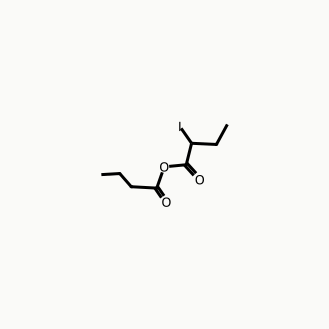 CCCC(=O)OC(=O)C(I)CC